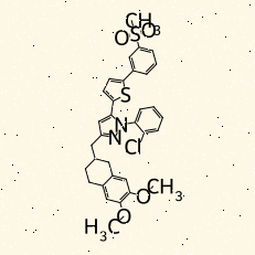 COc1cc2c(cc1OC)CC(Cc1cc(-c3ccc(-c4cccc(S(C)(=O)=O)c4)s3)n(-c3ccccc3Cl)n1)CC2